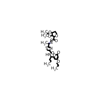 C=CCOc1cc(C(CCC)NC(=O)C2CSC(/C(C)=N/OC(=O)C3OCCC4OC(C)(C)OC43)=N2)oc(=O)c1